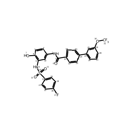 O=C(Nc1ccc(O)c(NS(=O)(=O)c2ccc(F)cc2)c1)c1ccc(-c2cccc(OC(F)(F)F)c2)cc1